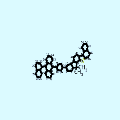 CC1(C)c2ccc(-c3ccc(-c4c5ccccc5c(-c5cccc6ccccc56)c5ccccc45)cc3)cc2-c2ccc3c(sc4ccc5ccccc5c43)c21